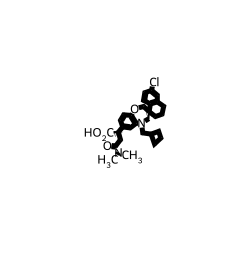 CN(C)C(=O)C[C@@H](C(=O)O)c1ccc2c(c1)N(CC1CCC1)C[C@@]1(CCCc3cc(Cl)ccc31)CO2